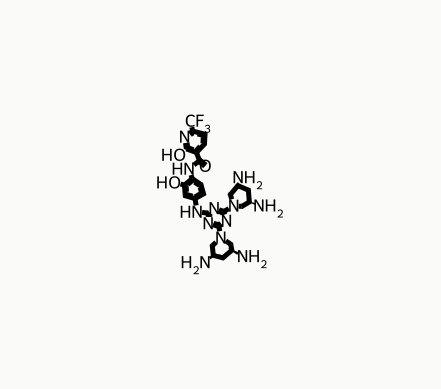 N[C@@H]1C[C@H](N)CN(c2nc(Nc3ccc(NC(=O)c4ccc(C(F)(F)F)nc4O)c(O)c3)nc(N3C[C@H](N)C[C@H](N)C3)n2)C1